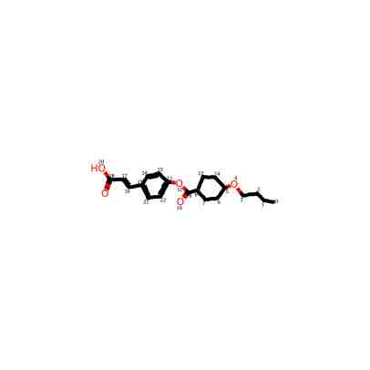 CCCCOC1CCC(C(=O)Oc2ccc(C=CC(=O)O)cc2)CC1